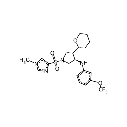 Cn1cnc(S(=O)(=O)N2C[C@H]([C@H]3CCCCO3)[C@@H](Nc3cccc(OC(F)(F)F)c3)C2)c1